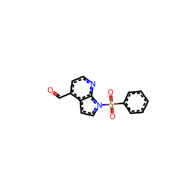 O=Cc1ccnc2c1ccn2S(=O)(=O)c1ccccc1